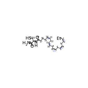 CC/C=C\C/C=C\C/C=C\C/C=C\C/C=C\CCCC(=O)NC(CS)C(N)=O